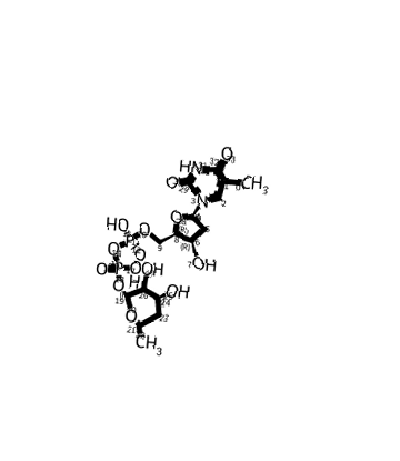 Cc1cn([C@H]2C[C@@H](O)[C@@H](COP(=O)(O)OP(=O)(O)O[C@H]3OC(C)C[C@H](O)C3O)O2)c(=O)[nH]c1=O